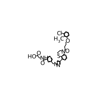 Cc1c(Cl)cccc1OCCCC(=O)N1CCSc2c(-c3cnn(Cc4cccc(C(=O)NCC(=O)O)c4)c3)cccc21